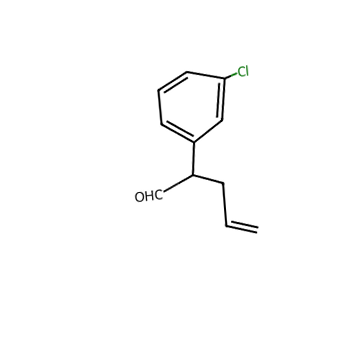 C=CCC(C=O)c1cccc(Cl)c1